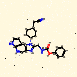 N#CC[C@H]1CC[C@H](n2c(CNC(=O)Oc3ccccc3)nc3cnc4[nH]ccc4c32)CC1